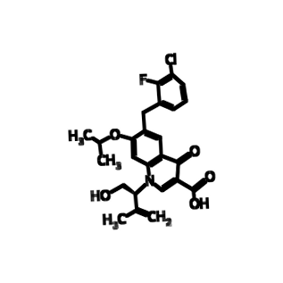 C=C(C)[C@@H](CO)n1cc(C(=O)O)c(=O)c2cc(Cc3cccc(Cl)c3F)c(OC(C)C)cc21